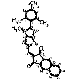 Cc1cc(C)c(-c2nc3oc(C=C4C(=O)c5cc6ccccc6cc5C4=O)nc3n2C)c(C)c1